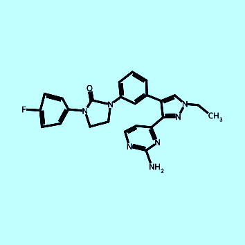 CCn1cc(-c2cccc(N3CCN(c4ccc(F)cc4)C3=O)c2)c(-c2ccnc(N)n2)n1